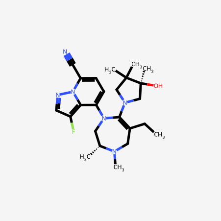 CCC1=C(N2CC(C)(C)[C@@](C)(O)C2)N(c2ccc(C#N)n3ncc(F)c23)C[C@@H](C)N(C)C1